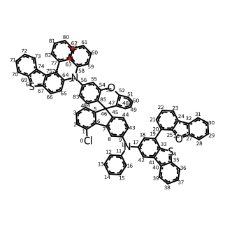 Clc1cccc2c1-c1cc(N(c3ccccc3)c3cc(-c4cccc5c4oc4ccccc45)c4sc5ccccc5c4c3)ccc1C21c2ccccc2Oc2cc(N(c3ccccc3)c3ccc4sc5ccccc5c4c3-c3ccccc3)ccc21